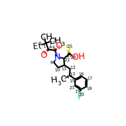 CCC(C)(C)C(=O)C(=O)N1CCC(C[C@H](C)c2cccc(F)c2)C1C(O)=S